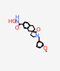 COc1cccc(CN2CC[C@@]3(CCc4ccc(C(=O)NO)cc4C3)C2=O)c1